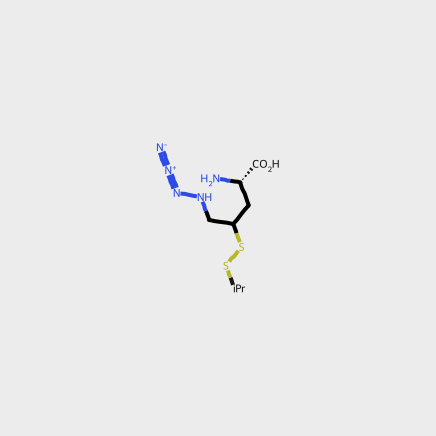 CC(C)SSC(CNN=[N+]=[N-])C[C@H](N)C(=O)O